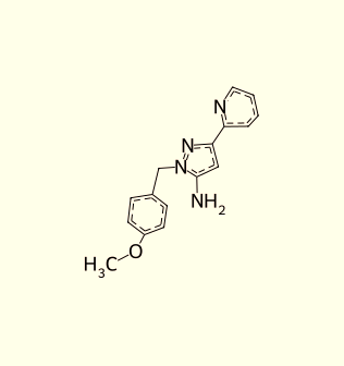 COc1ccc(Cn2nc(-c3ccccn3)cc2N)cc1